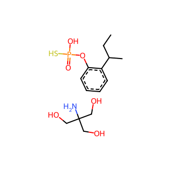 CCC(C)c1ccccc1OP(=O)(O)S.NC(CO)(CO)CO